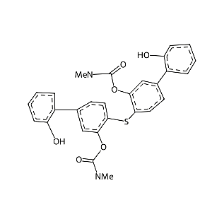 CNC(=O)Oc1cc(-c2ccccc2O)ccc1Sc1ccc(-c2ccccc2O)cc1OC(=O)NC